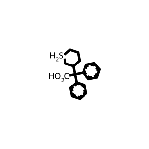 O=C(O)C(c1ccccc1)(c1ccccc1)C1CCC[SiH2]C1